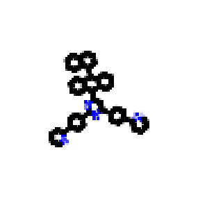 c1ccc(-c2ccc(-c3cc(-c4c5ccccc5c(-c5cccc6ccccc56)c5ccccc45)nc(-c4ccc(-c5ccccn5)cc4)n3)cc2)nc1